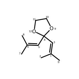 CC(C)=CC1(C=C(C)C)OCCO1